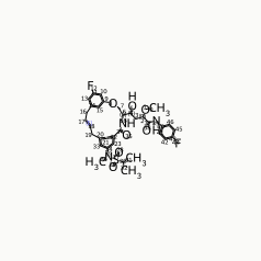 CO[C@H](C[C@H](O)[C@@H]1COc2cc(F)cc(c2)C/C=C/Cc2cc(cc(N(C)S(=O)(=O)C(C)C)c2)C(=O)N1)C(=O)Nc1ccc(F)cc1